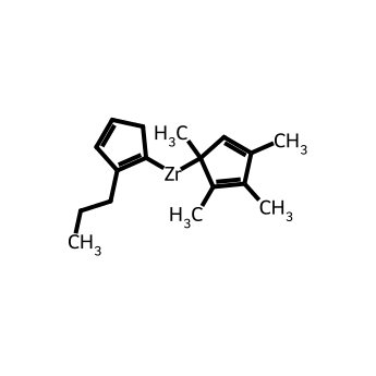 CCCC1=[C]([Zr][C]2(C)C=C(C)C(C)=C2C)CC=C1